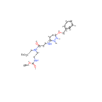 CCOC(=O)CN(CCNC(=O)OC(C)(C)C)C(=O)CCNc1ccc(OCc2ccccc2)nn1